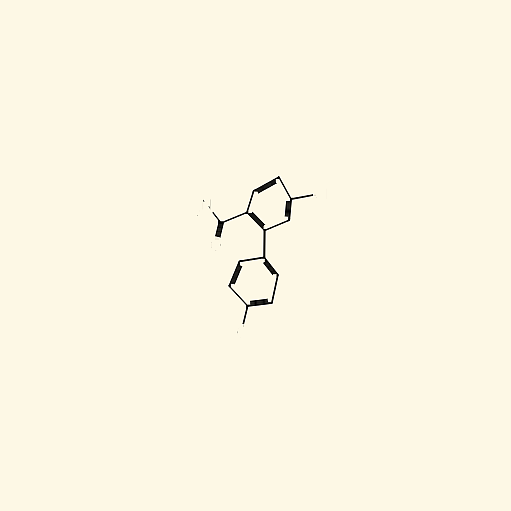 NC(=O)c1c[c]c(Cl)cc1-c1ccc(Cl)cc1